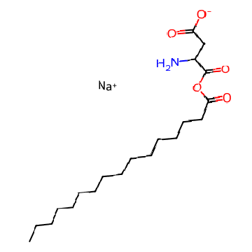 CCCCCCCCCCCCCCCC(=O)OC(=O)C(N)CC(=O)[O-].[Na+]